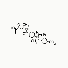 CCCc1nc2cc(C(=O)N[C@H](C)CC(=O)NO)cc(C)c2n1Cc1ccc(C(=O)O)cc1